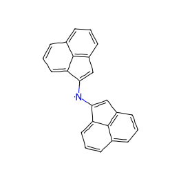 C1=C([N]C2=Cc3cccc4cccc2c34)c2cccc3cccc1c23